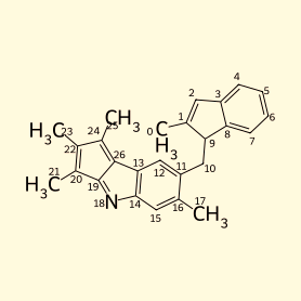 CC1=Cc2ccccc2C1Cc1cc2c(cc1C)N=C1C(C)=C(C)C(C)=C12